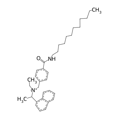 CCCCCCCCCCCCNC(=O)c1ccc(C[N+](CC)C(C)c2cccc3ccccc23)cc1